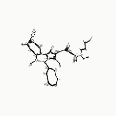 CCCCN(CC)NC(=O)c1cc(-c2cc(Cl)c(C)cc2OC)n(CC2CCCCC2)c1C